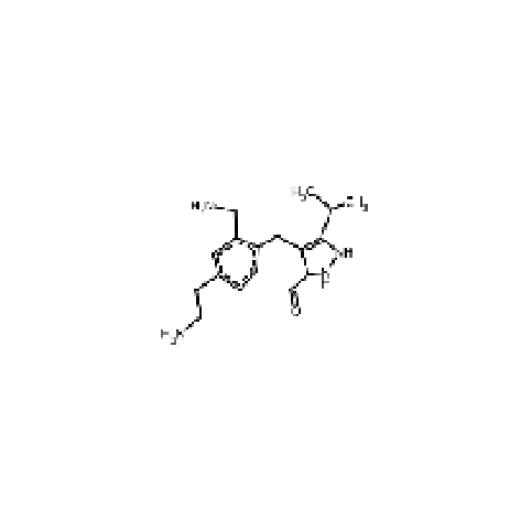 CC(C)C1=C(Cc2ccc(CCN)cc2CN)C(C=O)NN1